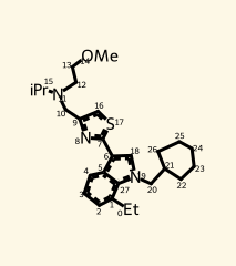 CCc1cccc2c(-c3nc(CN(CCOC)C(C)C)cs3)cn(CC3CCCCC3)c12